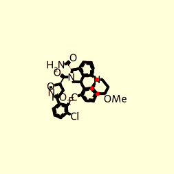 COC1CCN(c2cccc3c2C(c2c(F)cccc2C(=O)O)CN(C(=O)[C@H]2CC(c4cccc(Cl)c4F)=NO2)[C@@H]3C(N)=O)CC1